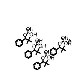 CC(C)(C)C(OP(O)O)c1ccccc1.CC(C)(C)C(OP(O)O)c1ccccc1.CC(C)(C)C(OP(O)O)c1ccccc1.CC(C)(C)C(OP(O)O)c1ccccc1.[Ni]